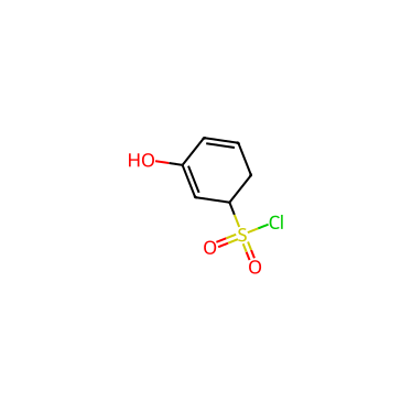 O=S(=O)(Cl)C1C=C(O)C=CC1